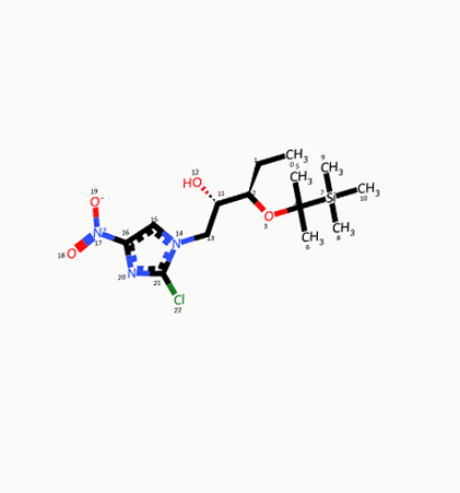 CC[C@@H](OC(C)(C)[Si](C)(C)C)[C@@H](O)Cn1cc([N+](=O)[O-])nc1Cl